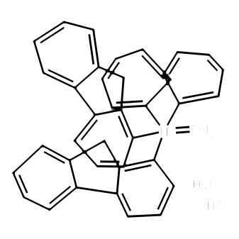 Cl.Cl.[SiH2]=[Hf]([c]1ccccc1)([c]1ccccc1)([c]1cccc2c1Cc1ccccc1-2)[c]1cccc2c1Cc1ccccc1-2